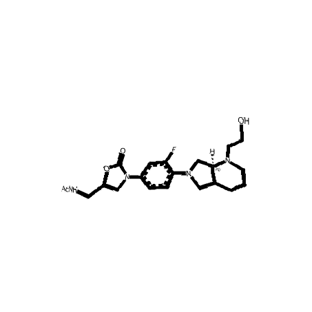 CC(=O)NCC1CN(c2ccc(N3CC4CCCN(CCO)[C@@H]4C3)c(F)c2)C(=O)O1